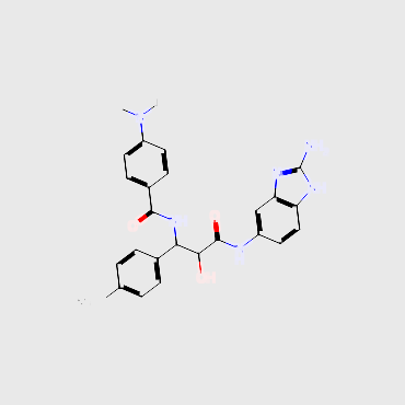 CCN(CC)c1ccc(C(=O)NC(c2ccc(OC)cc2)C(O)C(=O)Nc2ccc3[nH]c(N)nc3c2)cc1